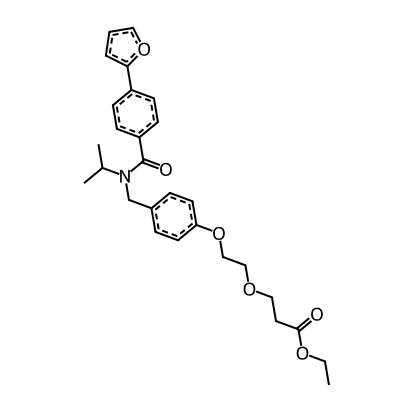 CCOC(=O)CCOCCOc1ccc(CN(C(=O)c2ccc(-c3ccco3)cc2)C(C)C)cc1